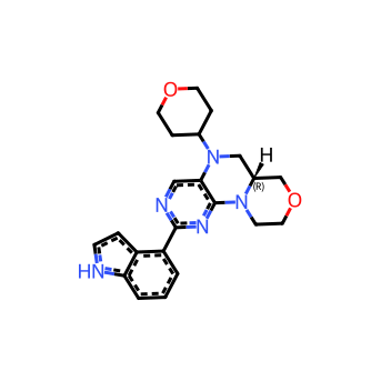 c1cc(-c2ncc3c(n2)N2CCOC[C@H]2CN3C2CCOCC2)c2cc[nH]c2c1